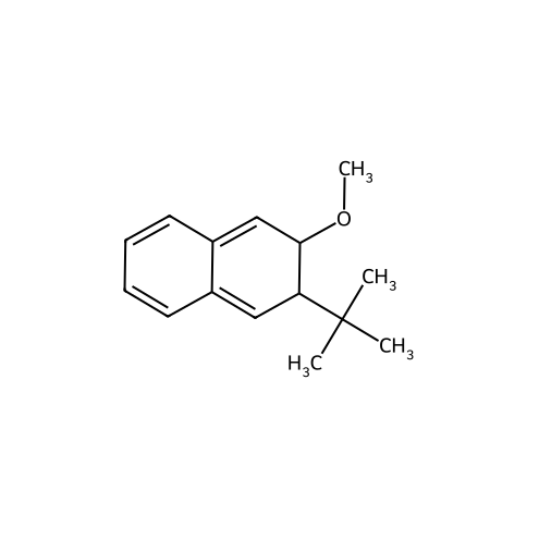 COC1C=c2ccccc2=CC1C(C)(C)C